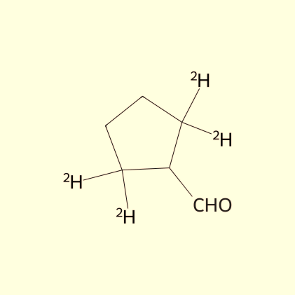 [2H]C1([2H])CCC([2H])([2H])C1C=O